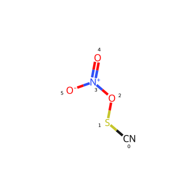 N#CSO[N+](=O)[O-]